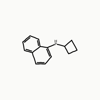 c1ccc2c(PC3CCC3)cccc2c1